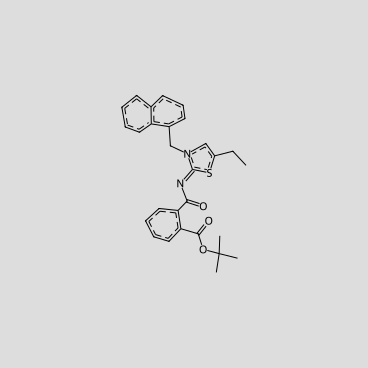 CCc1cn(Cc2cccc3ccccc23)c(=NC(=O)c2ccccc2C(=O)OC(C)(C)C)s1